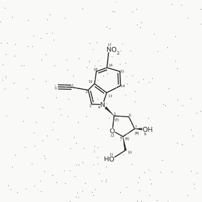 C#Cc1cn([C@H]2C[C@@H](O)[C@@H](CO)O2)c2ccc([N+](=O)[O-])cc12